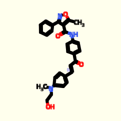 Cc1onc(-c2ccccc2)c1C(=O)Nc1ccc(C(=O)/C=C/c2ccc(N(C)CCO)cc2)cc1